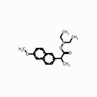 CCN(CC)OC(=O)C(C)c1ccc2cc(OC)ccc2c1